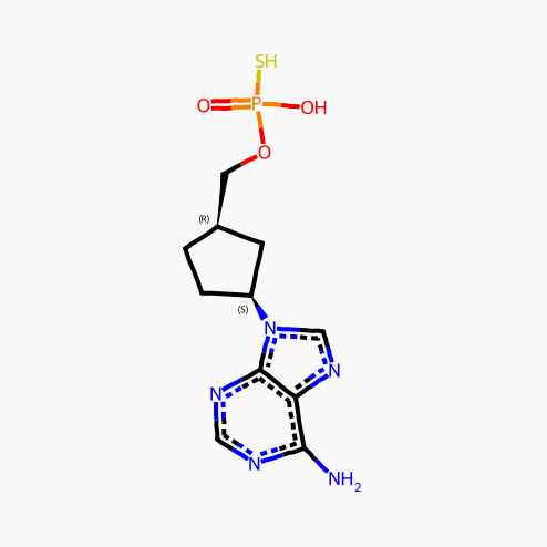 Nc1ncnc2c1ncn2[C@H]1CC[C@@H](COP(=O)(O)S)C1